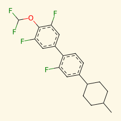 CC1CCC(c2ccc(-c3cc(F)c(OC(F)F)c(F)c3)c(F)c2)CC1